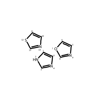 c1c[nH]cn1.c1cocn1.c1cscn1